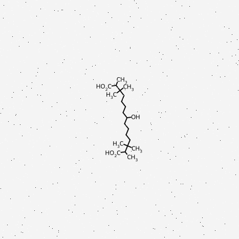 CC(C(=O)O)C(C)(C)CCCCC(O)CCCCC(C)(C)C(C)C(=O)O